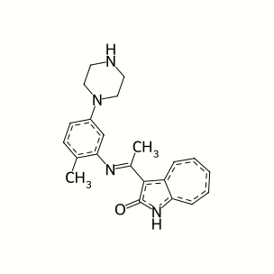 C/C(=N\c1cc(N2CCNCC2)ccc1C)c1c2cccccc-2[nH]c1=O